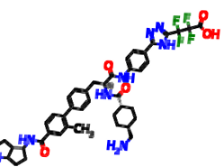 Cc1cc(C(=O)NC2CCC3NCCC32)ccc1-c1ccc(C[C@H](NC(=O)[C@H]2CC[C@H](CN)CC2)C(=O)Nc2ccc(-c3nnc(C(F)(F)C(F)(F)C(=O)O)[nH]3)cc2)cc1